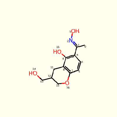 CC(=NO)c1ccc2c(c1O)CC(CO)CO2